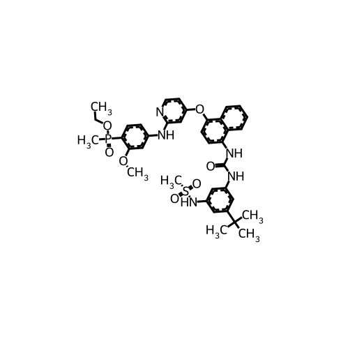 CCOP(C)(=O)c1ccc(Nc2cc(Oc3ccc(NC(=O)Nc4cc(NS(C)(=O)=O)cc(C(C)(C)C)c4)c4ccccc34)ccn2)cc1OC